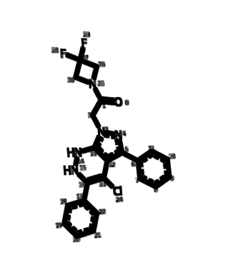 O=C(Cn1nc(-c2ccccc2)c2c1NNC(c1ccccc1)=C2Cl)N1CC(F)(F)C1